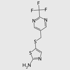 Nc1ncc(SCc2cnc(C(F)(F)F)nc2)s1